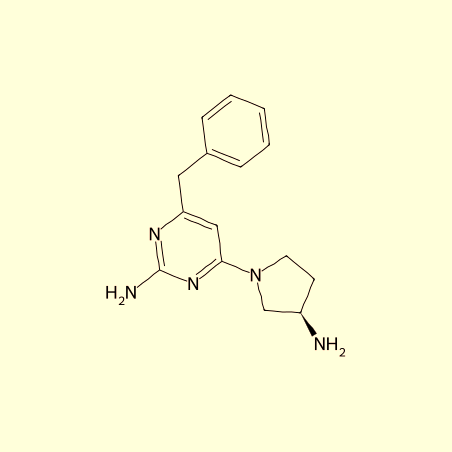 Nc1nc(Cc2ccccc2)cc(N2CC[C@@H](N)C2)n1